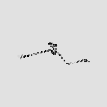 CCCCCCCC/C=C\CCCCCCCC(=O)OC(C(=O)CCCCCCCCCCCCCCC)C(O)CO